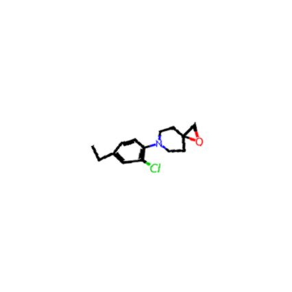 CCc1ccc(N2CCC3(CC2)CO3)c(Cl)c1